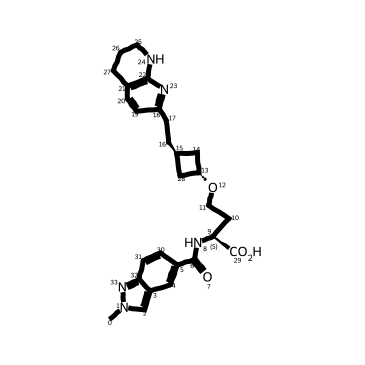 Cn1cc2cc(C(=O)N[C@@H](CCO[C@H]3C[C@H](CCc4ccc5c(n4)NCCC5)C3)C(=O)O)ccc2n1